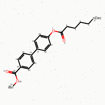 CCCCCCCCCCCCCCC(=O)Oc1ccc(-c2ccc(C(=O)OC(C)CC)cc2)cc1